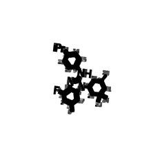 Cc1cc(F)c2nc(Nc3ccc(C(C)C)cc3)n([C@H]3C[C@@H](C)CC(C)(C)C3)c2c1